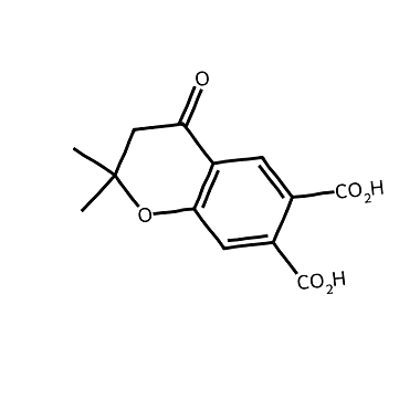 CC1(C)CC(=O)c2cc(C(=O)O)c(C(=O)O)cc2O1